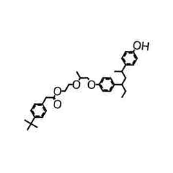 CCC(CC(C)c1ccc(O)cc1)c1ccc(OCC(C)OCCOC(=O)Cc2ccc(C(C)(C)C)cc2)cc1